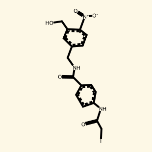 O=C(CI)Nc1ccc(C(=O)NCc2ccc([N+](=O)[O-])c(CO)c2)cc1